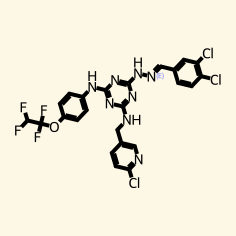 FC(F)C(F)(F)Oc1ccc(Nc2nc(NCc3ccc(Cl)nc3)nc(N/N=C/c3ccc(Cl)c(Cl)c3)n2)cc1